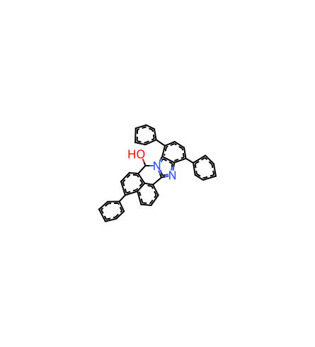 OC1c2ccc(-c3ccccc3)c3cccc(c23)-c2nc3c(-c4ccccc4)ccc(-c4ccccc4)c3n21